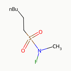 CCCCCCS(=O)(=O)N(C)F